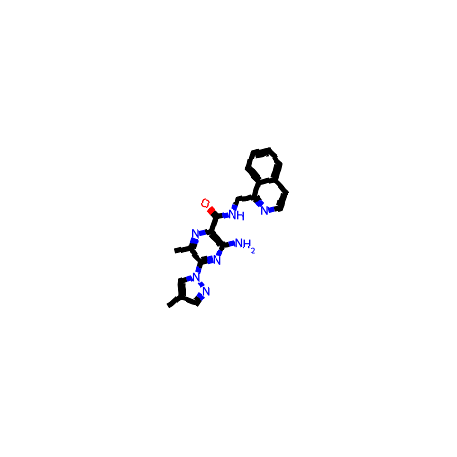 Cc1cnn(-c2nc(N)c(C(=O)NCc3nccc4ccccc34)nc2C)c1